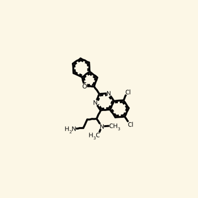 CN(C)C(CCN)c1nc(-c2cc3ccccc3o2)nc2c(Cl)cc(Cl)cc12